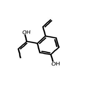 C=Cc1ccc(O)cc1/C(O)=C\C